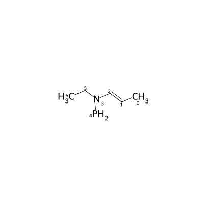 CC=CN(P)CC